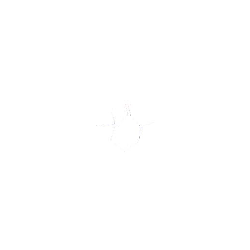 CN1CCC[N+](C)([O-])C1=O